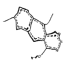 Cc1ccc2c(C)c3nnnc(O)c3cc2c1